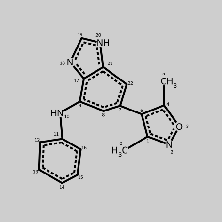 Cc1noc(C)c1-c1cc(Nc2ccccc2)c2nc[nH]c2c1